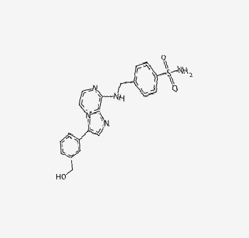 NS(=O)(=O)c1ccc(CNc2nccn3c(-c4cccc(CO)c4)cnc23)cc1